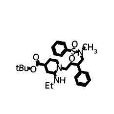 CCNC1CC(C(=O)OC(C)(C)C)CCN1CCC(CN(C)S(=O)(=O)c1ccccc1)c1ccccc1